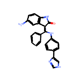 Nc1ccc2c(c1)/C(=C(/Nc1ccc(-c3c[nH]cn3)cc1)c1ccccc1)C(=O)N2